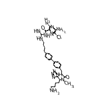 CN(C(=O)CCc1ccc(-c2ccc(CCCCNC(=N)NC(=O)c3nc(Cl)c(N)nc3N)cc2)cc1)C(CCCCN)c1nnn[nH]1